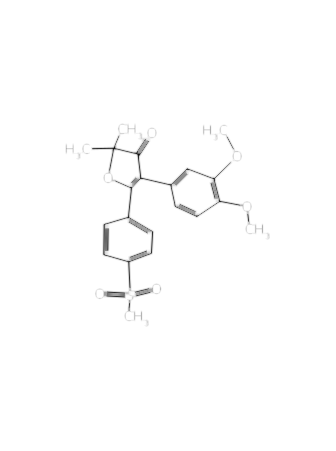 COc1ccc(C2=C(c3ccc(S(C)(=O)=O)cc3)OC(C)(C)C2=O)cc1OC